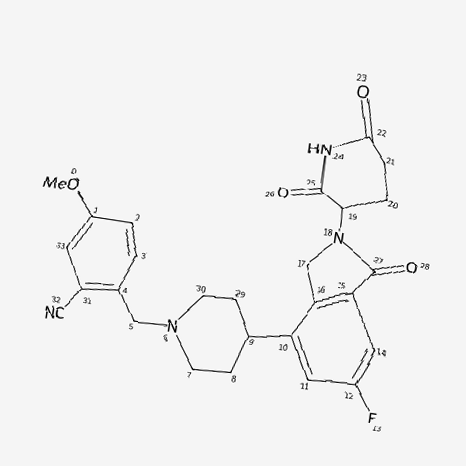 COc1ccc(CN2CCC(c3cc(F)cc4c3CN(C3CCC(=O)NC3=O)C4=O)CC2)c(C#N)c1